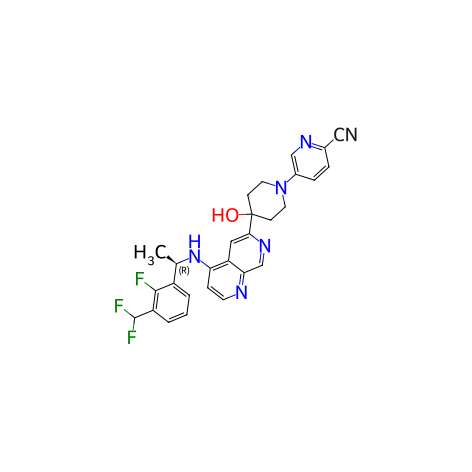 C[C@@H](Nc1ccnc2cnc(C3(O)CCN(c4ccc(C#N)nc4)CC3)cc12)c1cccc(C(F)F)c1F